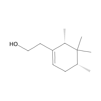 C[C@@H]1CC=C(CCO)[C@H](C)C1(C)C